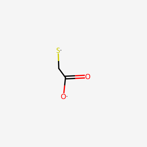 [O]C(=O)C[S]